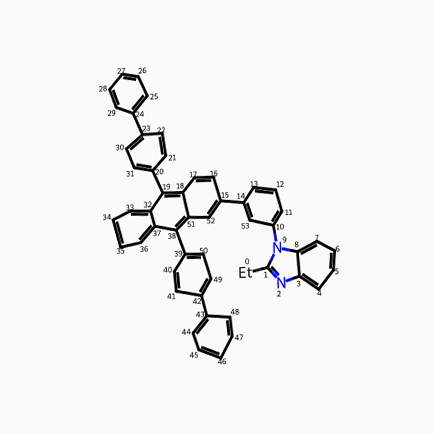 CCc1nc2ccccc2n1-c1cccc(-c2ccc3c(-c4ccc(-c5ccccc5)cc4)c4ccccc4c(-c4ccc(-c5ccccc5)cc4)c3c2)c1